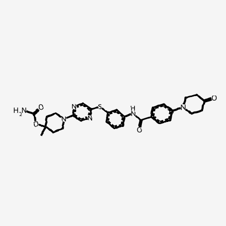 CC1(OC(N)=O)CCN(c2cnc(Sc3cccc(NC(=O)c4ccc(N5CCC(=O)CC5)cc4)c3)cn2)CC1